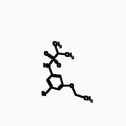 CCOc1cc(Br)cc(NS(=O)(=O)C(C)C)c1